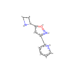 c1ccc(-c2cc(C3CC[N]3)on2)nc1